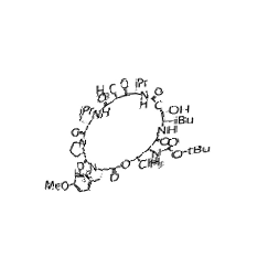 CC[C@H](C)[C@H]1NC(=O)[C@@H](NC(=O)OC(C)(C)C)[C@@H](C)OC(=O)[C@H](Cc2ccc(OC)cc2)N(C)C(=O)C2CCCN2C(=O)[C@H](CC(C)C)NC(=O)[C@@H](C)C(=O)[C@H](C(C)C)NC(=O)C[C@@H]1O